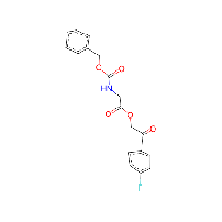 O=C(CNC(=O)OCc1ccccc1)OCC(=O)c1ccc(F)cc1